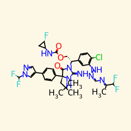 C/C(=N\C=N/Nc1cc([C@@H](COC(=O)N[C@H]2C[C@@H]2F)N2C(=N)N[C@](CC(C)(C)C)(c3ccc(-c4cnn(C(F)F)c4)cc3)C2=O)ccc1Cl)C(F)F